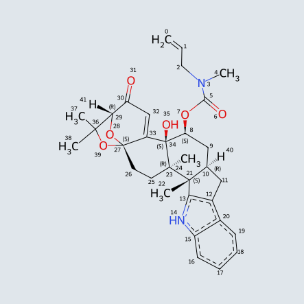 C=CCN(C)C(=O)O[C@H]1C[C@H]2Cc3c([nH]c4ccccc34)[C@]2(C)[C@@]2(C)CC[C@@]34O[C@@H](C(=O)C=C3[C@]12O)C(C)(C)O4